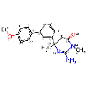 CCOc1ccc(C2C=C(C3(C)CC(=O)N(C)C(N)=N3)C=CC2)cc1